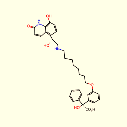 O=C(O)[C@](O)(c1ccccc1)c1cccc(OCCCCCCCCNC[C@H](O)c2ccc(O)c3[nH]c(=O)ccc23)c1